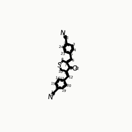 N#Cc1ccc(/C=C2\CSC/C(=C\c3ccc(C#N)cc3)C2=O)cc1